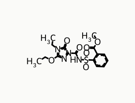 CCOc1nn(C(=O)NS(=O)(=O)c2ccccc2C(=O)OC)c(=O)n1CC